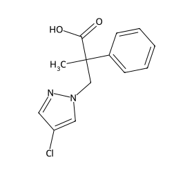 CC(Cn1cc(Cl)cn1)(C(=O)O)c1ccccc1